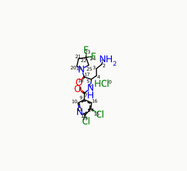 Cl.NCCCC(NC(=O)c1cnc(Cl)c(Cl)c1)C(=O)N1CCC(F)(F)C1